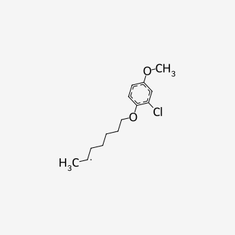 C[CH]CCCCCOc1ccc(OC)cc1Cl